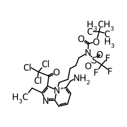 CCC1=C(C(=O)C(Cl)(Cl)Cl)[N+]2(CCCCCN(C(=O)OC(C)(C)C)S(=O)(=O)C(F)(F)F)C(CN)=CC=CC2=N1